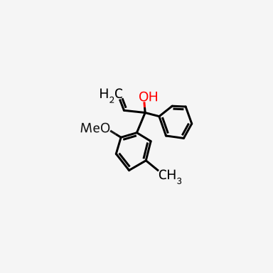 C=CC(O)(c1ccccc1)c1cc(C)ccc1OC